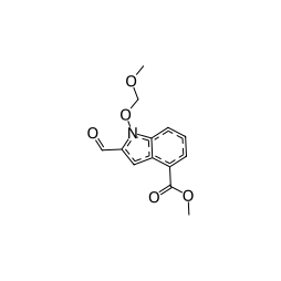 COCOn1c(C=O)cc2c(C(=O)OC)cccc21